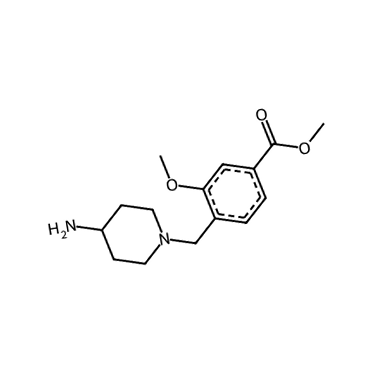 COC(=O)c1ccc(CN2CCC(N)CC2)c(OC)c1